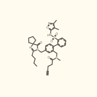 C#CCCC(=O)N(C)Cc1cc(CN2C(=O)C3(CCCC3)N=C2CCCC)ccc1-c1ccccc1S(=O)(=O)Nc1onc(C)c1C